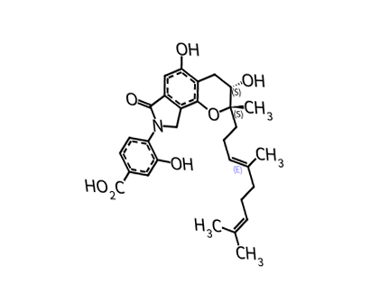 CC(C)=CCC/C(C)=C/CC[C@]1(C)Oc2c(c(O)cc3c2CN(c2ccc(C(=O)O)cc2O)C3=O)C[C@@H]1O